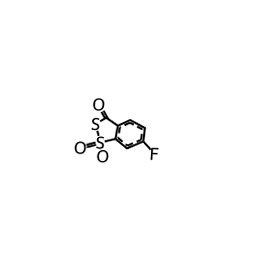 O=C1SS(=O)(=O)c2cc(F)ccc21